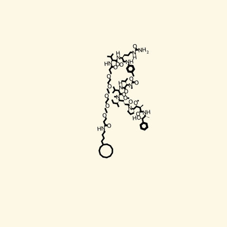 CCC(C)[C@@H]([C@@H](CC(=O)N1CCC[C@H]1[C@H](OC)[C@@H](C)C(=O)N[C@H](C)[C@@H](O)c1ccccc1)OC)N(C)C(=O)[C@@H](NC(=O)[C@H](C(C)C)N(C)C(=O)OCc1ccc(NC(=O)[C@H](CCCNC(N)=O)NC(=O)[C@@H](NC(=O)CCOCCOCCOCCOCCOCCC(=O)NCCCCC2CCCCCCCCCC2)C(C)C)cc1)C(C)C